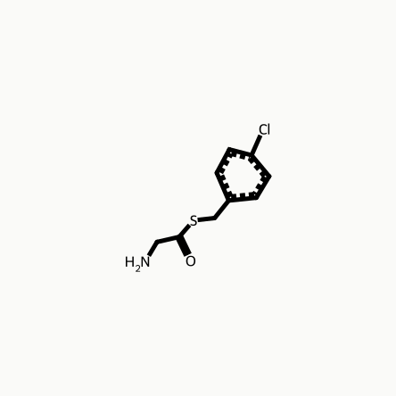 NCC(=O)SCc1ccc(Cl)cc1